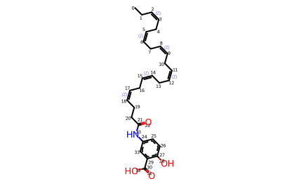 CC/C=C\C/C=C\C/C=C\C/C=C\C/C=C\C/C=C\CCC(=O)Nc1ccc(O)c(C(=O)O)c1